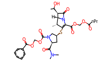 CCCC(=O)OCOC(=O)C1=C(S[C@H]2C[C@@H](C(=O)N(C)C)N(C(=O)OCOC(=O)c3ccccc3)C2)[C@H](C)[C@@H]2[C@@H](C(C)O)C(=O)N12